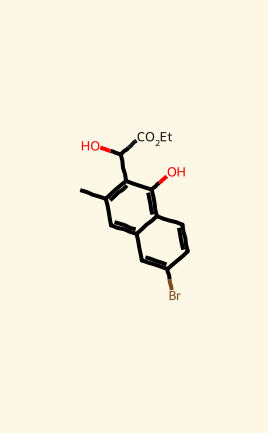 CCOC(=O)C(O)c1c(C)cc2cc(Br)ccc2c1O